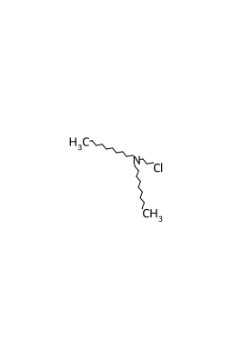 CCCCCCCCCCN(CCCCl)CCCCCCCCCC